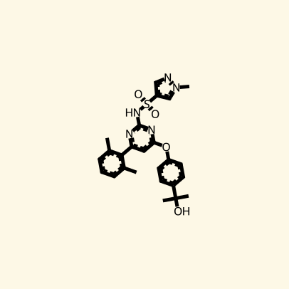 Cc1cccc(C)c1-c1cc(Oc2ccc(C(C)(C)O)cc2)nc(NS(=O)(=O)c2cnn(C)c2)n1